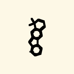 CC1(C)C=CC=c2cc3c(cc21)=Cc1[c]cccc1-3